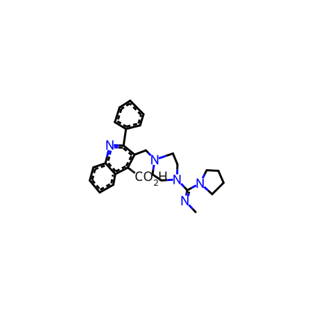 CN=C(N1CCCC1)N1CCN(Cc2c(-c3ccccc3)nc3ccccc3c2C(=O)O)CC1